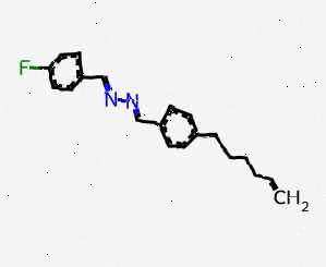 C=CCCCCc1ccc(/C=N/N=C/c2ccc(F)cc2)cc1